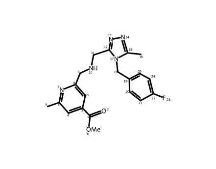 COC(=O)c1cc(C)nc(CNCc2nnc(C)n2Cc2ccc(F)cc2)c1